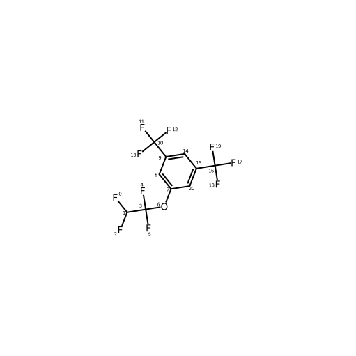 FC(F)C(F)(F)Oc1cc(C(F)(F)F)cc(C(F)(F)F)c1